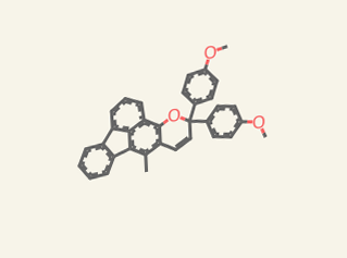 COc1ccc(C2(c3ccc(OC)cc3)C=Cc3c(C)c4c5c(cccc5c3O2)-c2ccccc2-4)cc1